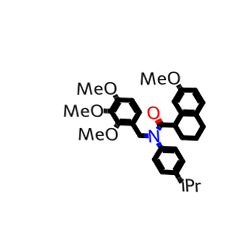 COc1ccc2c(c1)C(C(=O)N(Cc1ccc(OC)c(OC)c1OC)c1ccc(C(C)C)cc1)CCC2